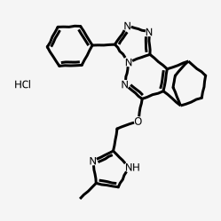 Cc1c[nH]c(COc2nn3c(-c4ccccc4)nnc3c3c2C2CCC3CC2)n1.Cl